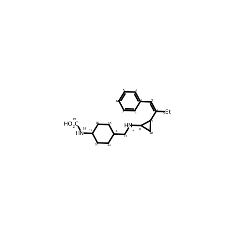 CCC(=Cc1ccccc1)C1CC1NCC1CCC(NC(=O)O)CC1